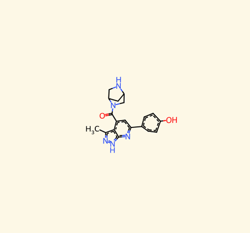 Cc1n[nH]c2nc(-c3ccc(O)cc3)cc(C(=O)N3CC4CC3CN4)c12